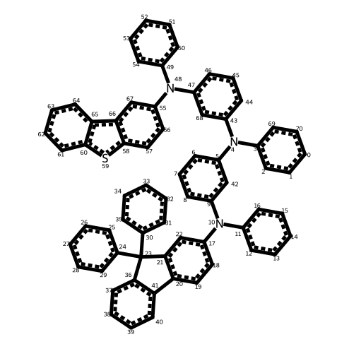 c1ccc(N(c2cccc(N(c3ccccc3)c3ccc4c(c3)C(c3ccccc3)(c3ccccc3)c3ccccc3-4)c2)c2cccc(N(c3ccccc3)c3ccc4sc5ccccc5c4c3)c2)cc1